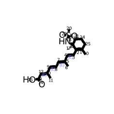 CC1=C(/C=C/C(C)=C/C=C/C(C)=C/C(=O)O)[C@@](C)(NS(C)(=O)=O)CCC1